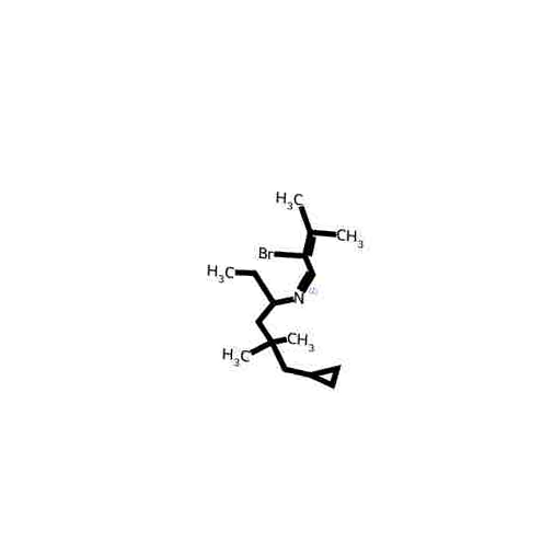 CCC(CC(C)(C)CC1CC1)/N=C\C(Br)=C(C)C